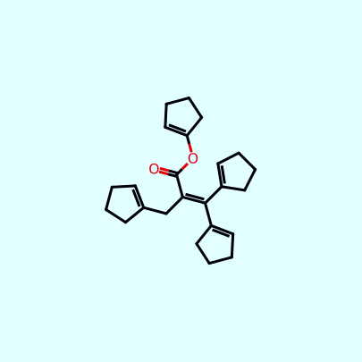 O=C(OC1=CCCC1)C(CC1=CCCC1)=C(C1=CCCC1)C1=CCCC1